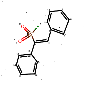 O=S(=O)(F)C(=Cc1ccccc1)c1ccccc1